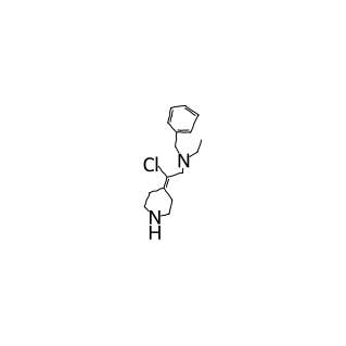 CCN(CC(Cl)=C1CCNCC1)Cc1ccccc1